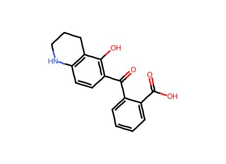 O=C(O)c1ccccc1C(=O)c1ccc2c(c1O)CCCN2